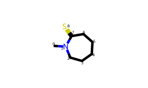 CN1CCCCCC1=S